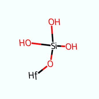 O[Si](O)(O)[O][Hf]